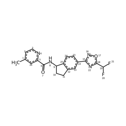 Cc1ccnc(C(=O)NC2CCc3cc(-c4noc(C(F)F)n4)ccc32)c1